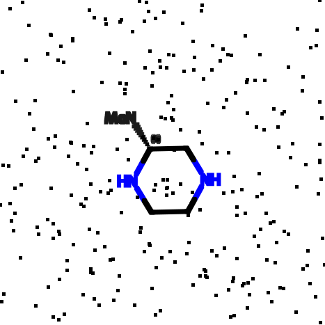 CN[C@@H]1CNCCN1